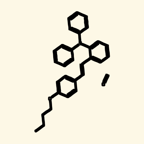 C=O.CCCCOc1ccc(C=Cc2ccccc2N(c2ccccc2)c2ccccc2)cc1